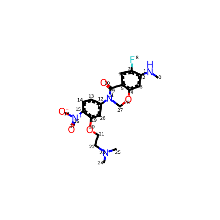 CNc1cc2c(cc1F)C(=O)N(c1ccc([N+](=O)[O-])c(OCCN(C)C)c1)CO2